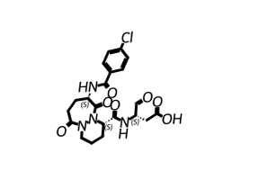 O=C[C@H](CC(=O)O)NC(=O)[C@@H]1CCCN2C(=O)CC[C@H](NC(=O)c3ccc(Cl)cc3)C(=O)N12